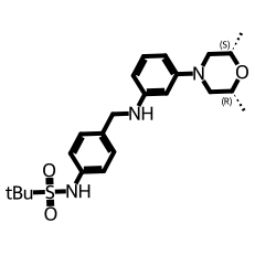 C[C@@H]1CN(c2cccc(NCc3ccc(NS(=O)(=O)C(C)(C)C)cc3)c2)C[C@H](C)O1